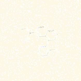 COC(=O)c1ccc2cccc(-c3ncccc3OC)c2c1